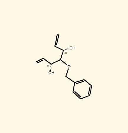 C=C[C@@H](O)C(OCc1ccccc1)[C@@H](O)C=C